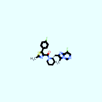 Cc1nc(C(=O)N2CCCC[C@H]2Cc2nc3c(F)cncn3c2C)c(-c2ccc(F)cc2)s1